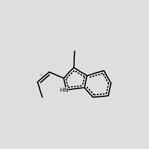 C/C=C\c1[nH]c2ccccc2c1C